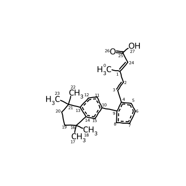 CC(/C=C/c1ccccc1-c1ccc2c(c1)C(C)(C)CCC2(C)C)=C\C(=O)O